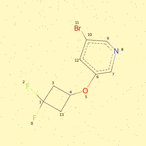 FC1(F)CC(Oc2cncc(Br)c2)C1